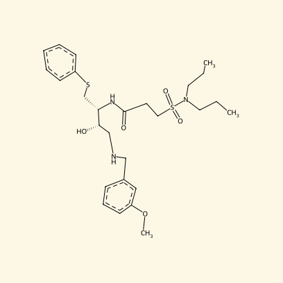 CCCN(CCC)S(=O)(=O)CCC(=O)N[C@@H](CSc1ccccc1)[C@@H](O)CNCc1cccc(OC)c1